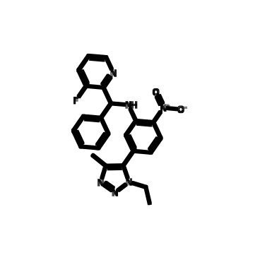 CCn1nnc(C)c1-c1ccc([N+](=O)[O-])c(NC(c2ccccc2)c2ncccc2F)c1